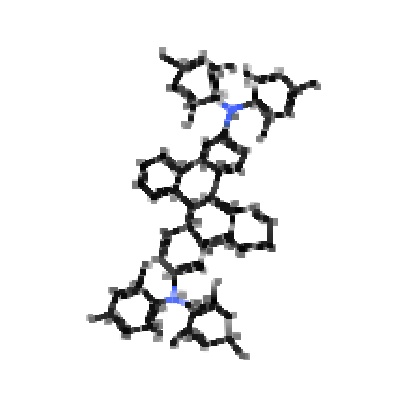 Cc1cc(C)c(N(c2ccc3c(c2)c2ccccc2c2c4ccc(N(c5c(C)cc(C)cc5C)c5c(C)cc(C)cc5C)cc4c4ccccc4c32)c2c(C)cc(C)cc2C)c(C)c1